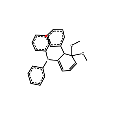 COC1(OC)C=CC=C(P(c2ccccc2)c2ccccc2)C1c1ccccc1